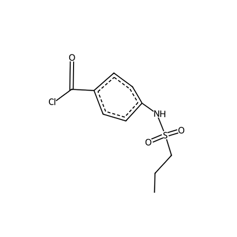 CCCS(=O)(=O)Nc1ccc(C(=O)Cl)cc1